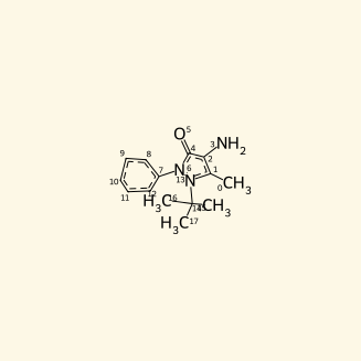 Cc1c(N)c(=O)n(-c2ccccc2)n1C(C)(C)C